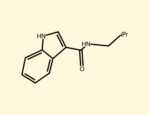 CC(C)CNC(=O)c1c[nH]c2ccccc12